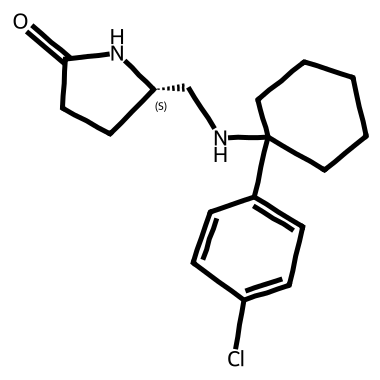 O=C1CC[C@@H](CNC2(c3ccc(Cl)cc3)CCCCC2)N1